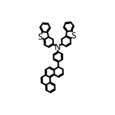 C1=Cc2c(ccc3ccc4ccccc4c23)C(c2ccc(N(C3=CC=C4Sc5ccccc5C4C3)C3C=Cc4sc5ccccc5c4C3)cc2)C1